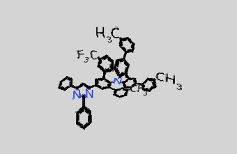 Cc1cccc(-c2ccc3c(c2)c2cc(-c4cccc(C)c4)ccc2n3-c2c(-c3cccc(C(F)(F)F)c3)cc(-c3cc(-c4ccccc4)nc(-c4ccccc4)n3)cc2-c2cccc(C(F)(F)F)c2)c1